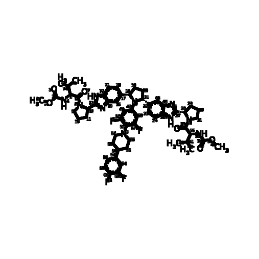 COC(=O)N[C@H](C(=O)N1CCCC1c1nc2cc([C@H]3CC[C@H](c4ccc5[nH]c([C@@H]6CCCN6C(=O)[C@@H](NC(=O)OC)C(C)C)nc5c4)N3c3cc(F)c(N4CCC(c5ccc(F)c(F)c5)CC4)c(F)c3)ccc2[nH]1)C(C)C